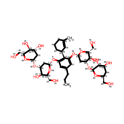 CCCc1cc(O[C@H]2C[C@@H](O[C@H]3C[C@@H](O)[C@H](O)[C@@H](CO)O3)[C@H](O)[C@@H](CO)O2)c([C@@H]2C=C(C)CCC2)c(O[C@H]2C[C@@H](O[C@@H]3O[C@H](CO)C[C@H](O)[C@H]3O)[C@H](O)[C@@H](CO)O2)c1